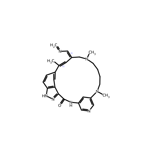 C=N/C=C1\C=C(/C)c2ccc3[nH]nc(c3c2)C(=O)Nc2cncc(c2)N(C)CCCCN(C)C1